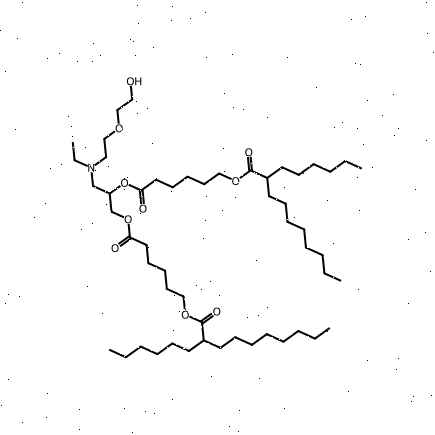 CCCCCCCCC(CCCCCC)C(=O)OCCCCCC(=O)OCC(CN(CC)CCOCCO)OC(=O)CCCCCOC(=O)C(CCCCCC)CCCCCCCC